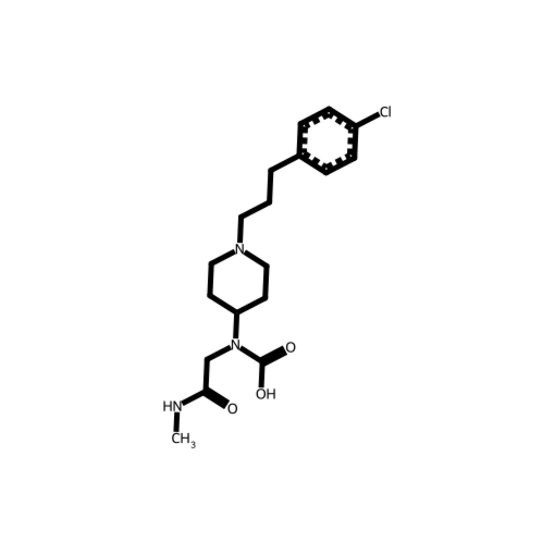 CNC(=O)CN(C(=O)O)C1CCN(CCCc2ccc(Cl)cc2)CC1